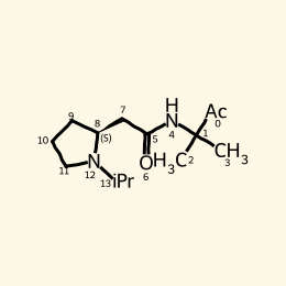 CC(=O)C(C)(C)NC(=O)C[C@@H]1CCCN1C(C)C